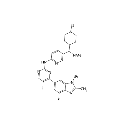 CCN1CCC(C(NC)c2ccc(Nc3ncc(F)c(-c4cc(F)c5nc(C)n(C(C)C)c5c4)n3)nc2)CC1